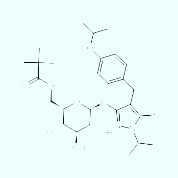 Cc1c(Cc2ccc(OC(C)C)cc2)c(O[C@@H]2O[C@H](COC(=O)C(C)(C)C)[C@@H](O)[C@H](O)[C@H]2O)nn1C(C)C